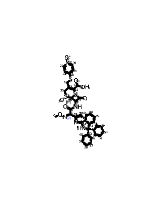 CO/N=C(\C(=O)N[C@@H]1C(=O)N2C(C(=O)O)=C(CSc3cc[n+]([O-])cc3)C[S+]([O-])[C@H]12)c1csc(NC(c2ccccc2)(c2ccccc2)c2ccccc2)n1